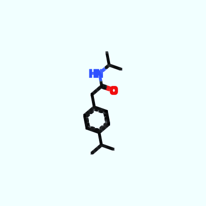 CC(C)NC(=O)Cc1ccc(C(C)C)cc1